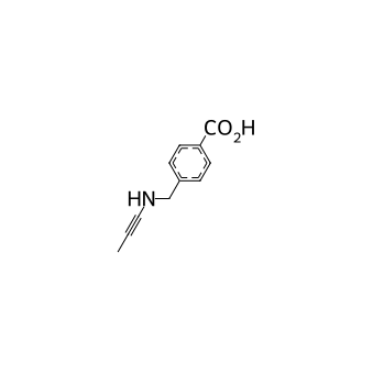 CC#CNCc1ccc(C(=O)O)cc1